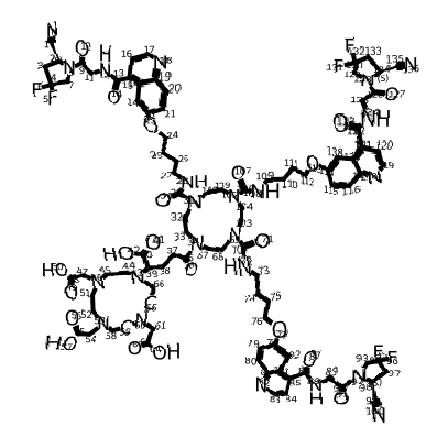 N#C[C@@H]1CC(F)(F)CN1C(=O)CNC(=O)c1ccnc2ccc(OCCCCNC(=O)N3CCN(C(=O)CCC(C(=O)O)N4CCN(CC(=O)O)CCN(CC(=O)O)CCN(CC(=O)O)CC4)CCN(C(=O)NCCCCOc4ccc5nccc(C(=O)NCC(=O)N6CC(F)(F)C[C@H]6C#N)c5c4)CCN(C(=O)NCCCCOc4ccc5nccc(C(=O)NCC(=O)N6CC(F)(F)C[C@H]6C#N)c5c4)CC3)cc12